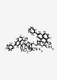 CS(=O)(=O)O.C[C@H](CNCCNC[C@@H](C)N1C(=O)c2cccc3cc(-c4cncnc4)cc(c23)C1=O)N1C(=O)c2cccc3cc(-c4cncnc4)cc(c23)C1=O